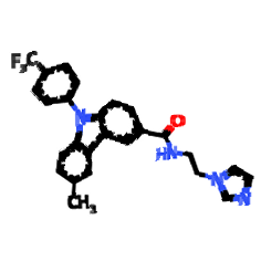 Cc1ccc2c(c1)c1cc(C(=O)NCCn3ccnc3)ccc1n2-c1ccc(C(F)(F)F)cc1